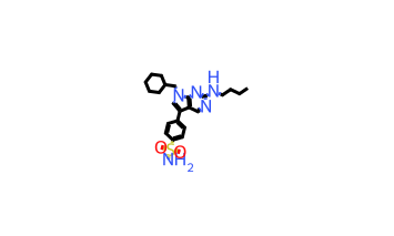 CCCCNc1ncc2c(-c3ccc(S(N)(=O)=O)cc3)cn(CC3CCCCC3)c2n1